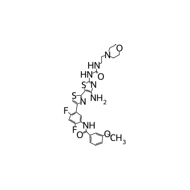 COc1cccc(C(=O)Nc2cc(-c3csc(-c4sc(NC(=O)NCCN5CCOCC5)nc4N)n3)c(F)cc2F)c1